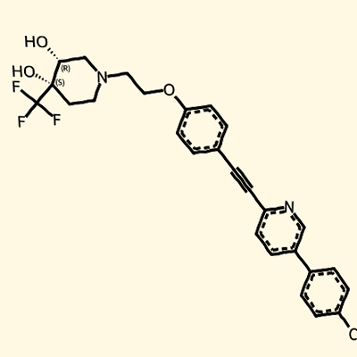 O[C@@H]1CN(CCOc2ccc(C#Cc3ccc(-c4ccc(Cl)cc4)cn3)cc2)CC[C@@]1(O)C(F)(F)F